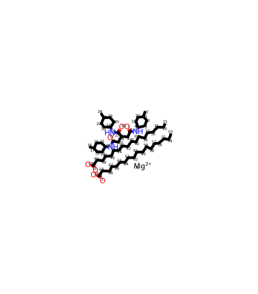 CC1CCC(NC(=O)CC(CC(=O)NC2CCC(C)CC2)C(=O)NC2CCC(C)CC2)CC1.CCCCCCCCCCCCCCCCCC(=O)[O-].CCCCCCCCCCCCCCCCCC(=O)[O-].[Mg+2]